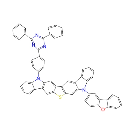 c1ccc(-c2nc(-c3ccccc3)nc(-c3ccc(-n4c5ccccc5c5cc6sc7cc8c(cc7c6cc54)c4ccccc4n8-c4ccc5oc6ccccc6c5c4)cc3)n2)cc1